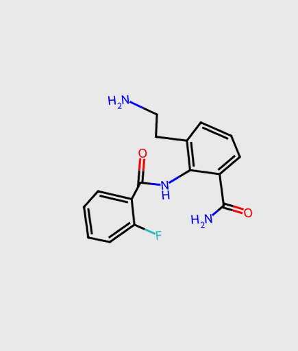 NCCc1cccc(C(N)=O)c1NC(=O)c1ccccc1F